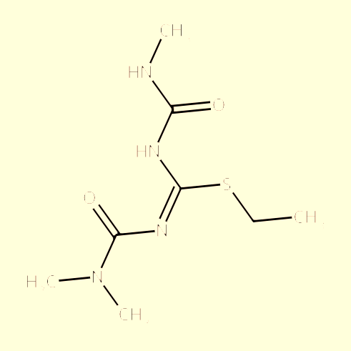 CCSC(=NC(=O)N(C)C)NC(=O)NC